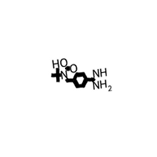 CC(C)(C)N(Cc1ccc(C(=N)N)cc1)C(=O)O